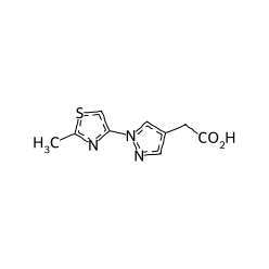 Cc1nc(-n2cc(CC(=O)O)cn2)cs1